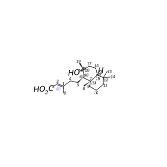 C/C(=C\C(=O)O)CC[C@@H]1[C@@]2(C)CCCC(C)(C)[C@@H]2CC[C@@]1(C)O